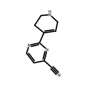 N#Cc1ccnc(C2=CCNCC2)n1